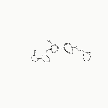 O=C1CCCN1C1CCCC(Cc2ccc(-c3ccc(OCCC4CCCCN4)cc3)cc2Cl)C1